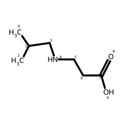 CC(C)CNCCC(=O)O